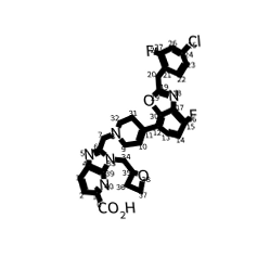 O=C(O)c1ccc2nc(CN3CC=C(c4ccc(F)c5nc(Cc6ccc(Cl)cc6F)oc45)CC3)n(CC3CCO3)c2n1